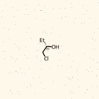 CC[C@H](O)CCl